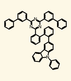 c1ccc(-c2cccc(-c3nc(-c4cccc(-c5ccccc5)c4)nc(-c4ccccc4-c4ccccc4-c4ccc5c(c4)c4ccccc4n5-c4ccccc4)n3)c2)cc1